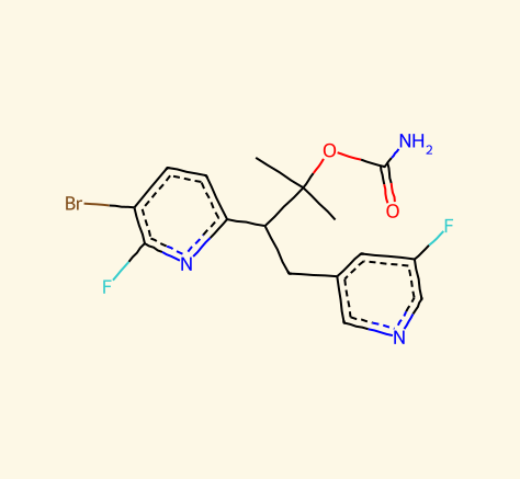 CC(C)(OC(N)=O)C(Cc1cncc(F)c1)c1ccc(Br)c(F)n1